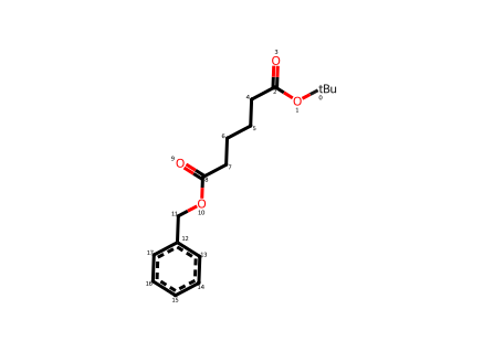 CC(C)(C)OC(=O)CCCCC(=O)OCc1ccccc1